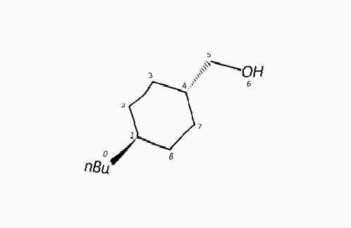 CCCC[C@H]1CC[C@H](CO)CC1